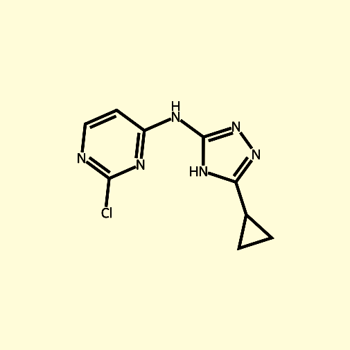 Clc1nccc(Nc2nnc(C3CC3)[nH]2)n1